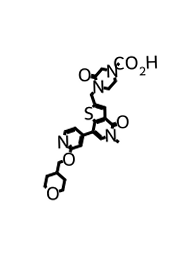 Cn1cc(-c2ccnc(OCC3CCOCC3)c2)c2sc(CN3CCN(C(=O)O)CC3=O)cc2c1=O